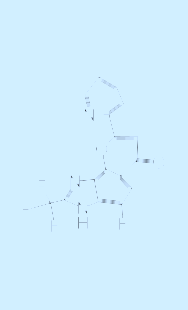 O=c1cc(-c2ccccn2)oc2c1cc(F)c1[nH]c(C(F)(F)F)nc12